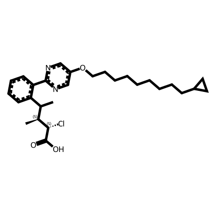 CC(c1ccccc1-c1ncc(OCCCCCCCCCC2CC2)cn1)[C@H](C)[C@H](Cl)C(=O)O